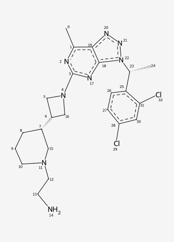 Cc1nc(N2CC([C@H]3CCCN(CCN)C3)C2)nc2c1nnn2[C@H](C)c1ccc(Cl)cc1Cl